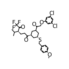 COc1ccc(CS[C@H]2CC(C(=O)COc3cc(Cl)cc(Cl)c3)C[C@H](C(=O)CC[C@H](C(=O)C(F)(F)F)C(C)C)C2)cc1